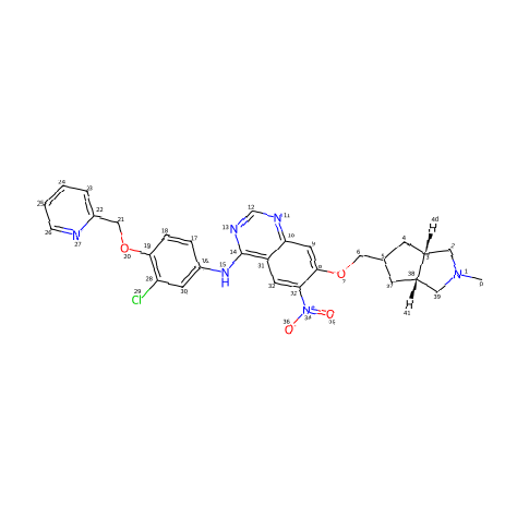 CN1C[C@H]2CC(COc3cc4ncnc(Nc5ccc(OCc6ccccn6)c(Cl)c5)c4cc3[N+](=O)[O-])C[C@H]2C1